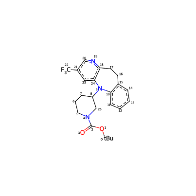 CC(C)(C)OC(=O)N1CCCC(N2c3ccccc3CCc3ncc(C(F)(F)F)cc32)C1